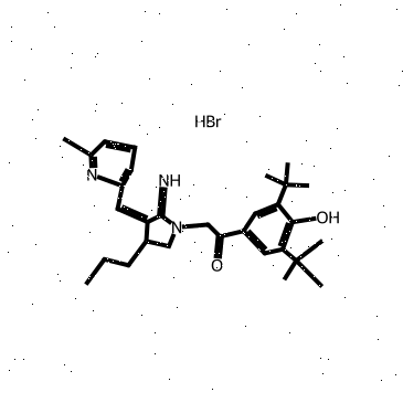 Br.CCCC1CN(CC(=O)c2cc(C(C)(C)C)c(O)c(C(C)(C)C)c2)C(=N)C1=Cc1cccc(C)n1